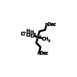 CCCCCCCCCCCC[N+](C)(C)CCCCCCCCCCCC.Cl.[Cl-]